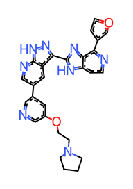 c1cc2[nH]c(-c3n[nH]c4ncc(-c5cncc(OCCN6CCCC6)c5)cc34)nc2c(-c2ccoc2)n1